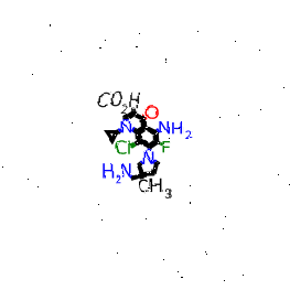 CC1(CN)CCN(c2c(F)c(N)c3c(=O)c(C(=O)O)cn(C4CC4)c3c2Cl)C1